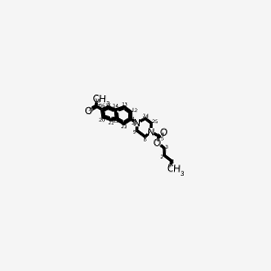 CCCCOC(=O)N1CCN(c2ccc3cc(C(C)=O)ccc3c2)CC1